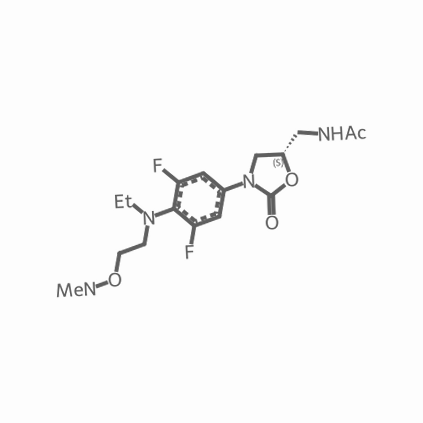 CCN(CCONC)c1c(F)cc(N2C[C@H](CNC(C)=O)OC2=O)cc1F